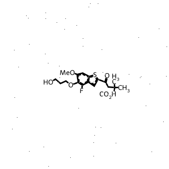 COc1cc2sc(C(=O)CC(C)(C)C(=O)O)cc2c(F)c1OCCCO